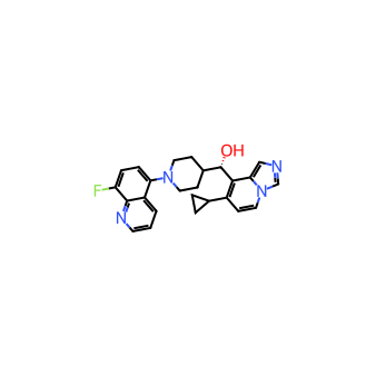 O[C@H](c1c(C2CC2)ccn2cncc12)C1CCN(c2ccc(F)c3ncccc23)CC1